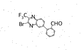 O=Cc1ccccc1-c1ccc2nc(C(F)(F)F)c(Br)nc2c1